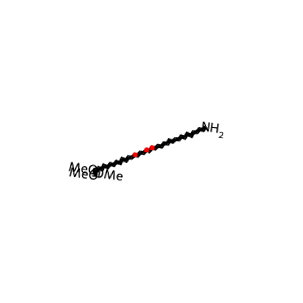 CO[Si](CCCCCCCCCCCCCCCCCCCCCCCCCCCCCCCCCCCCN)(OC)OC